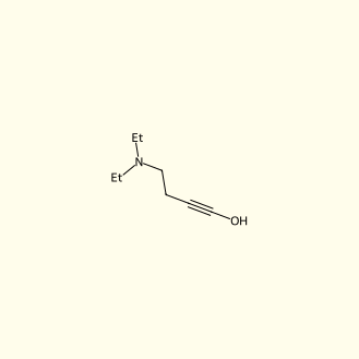 CCN(CC)CCC#CO